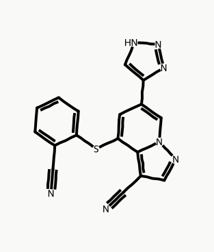 N#Cc1ccccc1Sc1cc(-c2c[nH]nn2)cn2ncc(C#N)c12